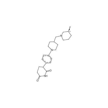 O=C1CCC(c2ccc(N3CCC(CN4CCC[C@H](F)C4)CC3)cc2)C(=O)N1